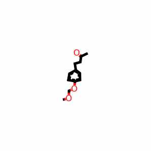 COCOc1ccc(CCC(C)=O)cc1